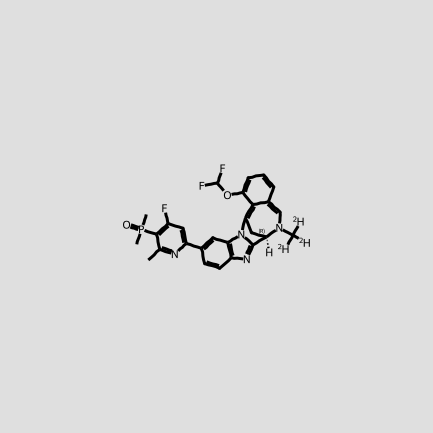 [2H]C([2H])([2H])N1C=c2cccc(OC(F)F)c2=C2C[C@@H]1c1nc3ccc(-c4cc(F)c(P(C)(C)=O)c(C)n4)cc3n12